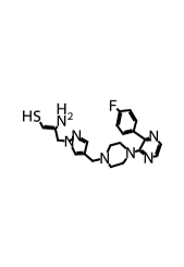 N/C(=C\S)Cn1cc(CN2CCN(c3nccnc3-c3ccc(F)cc3)CC2)cn1